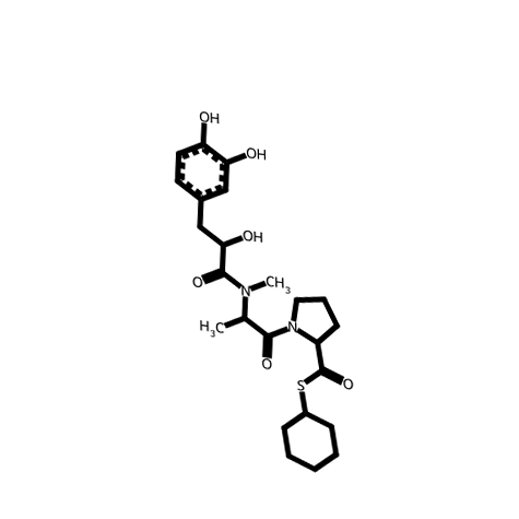 CC(C(=O)N1CCCC1C(=O)SC1CCCCC1)N(C)C(=O)C(O)Cc1ccc(O)c(O)c1